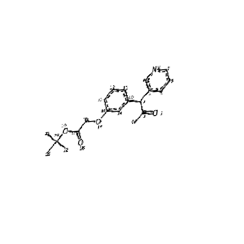 CC(=O)C(c1cccnc1)c1cccc(OCC(=O)OC(C)(C)C)c1